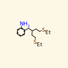 CCSCCC(CCSCC)Cc1ccccc1N